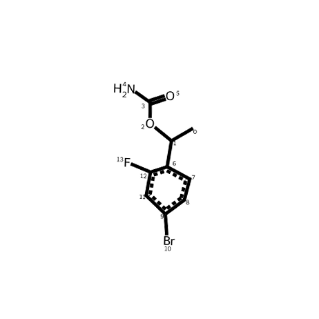 CC(OC(N)=O)c1ccc(Br)cc1F